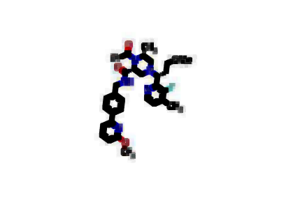 COCC[C@H](c1nccc(C)c1F)N1C[C@@H](C)N(C(=O)C(C)C)[C@@H](C(=O)NCc2ccc(-c3cccc(OC(F)(F)F)n3)cc2)C1